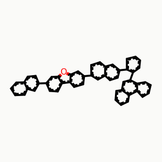 c1ccc(-c2cc3ccccc3c3ccccc23)c(-c2ccc3cc(-c4ccc5c(c4)oc4cc(-c6ccc7ccccc7c6)ccc45)ccc3c2)c1